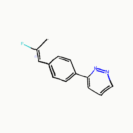 [CH2]/C(F)=C\c1ccc(-c2cccnn2)cc1